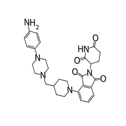 Nc1ccc(N2CCN(CC3CCN(c4cccc5c4C(=O)N(C4CCC(=O)NC4=O)C5=O)CC3)CC2)cc1